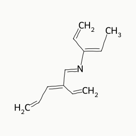 C=C/C=C(C=C)/C=N/C(C=C)=C/C